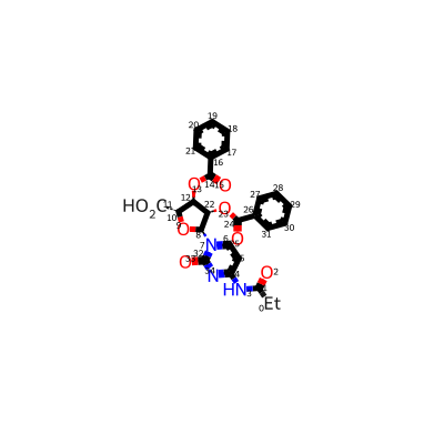 CCC(=O)Nc1ccn([C@@H]2O[C@H](C(=O)O)[C@@H](OC(=O)c3ccccc3)[C@@H]2OC(=O)c2ccccc2)c(=O)n1